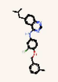 Cc1cccc(COc2ccc(Nc3ncnc4ccc(CC(C)C)cc34)cc2Cl)c1